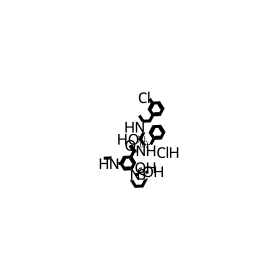 CCNc1cc(C(=O)N[C@@H](Cc2ccccc2)[C@H](O)CNC(C)Cc2cccc(Cl)c2)cc(N2CCCCS2(O)O)c1.Cl